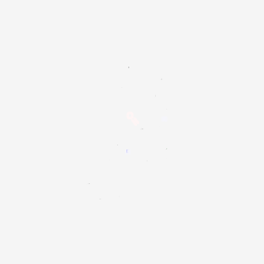 Cl.O=C1/C(=C\c2ccccc2)CCC/C1=C\c1ccccc1